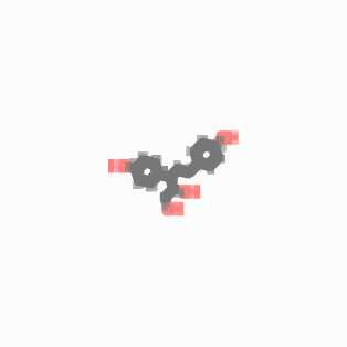 OCC(O)C(/C=C/c1ccc(O)cc1)c1ccc(O)cc1